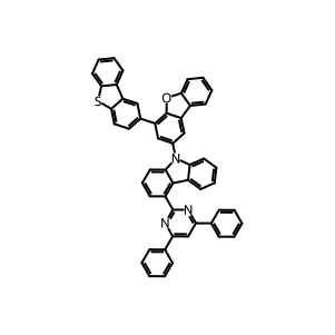 c1ccc(-c2cc(-c3ccccc3)nc(-c3cccc4c3c3ccccc3n4-c3cc(-c4ccc5sc6ccccc6c5c4)c4oc5ccccc5c4c3)n2)cc1